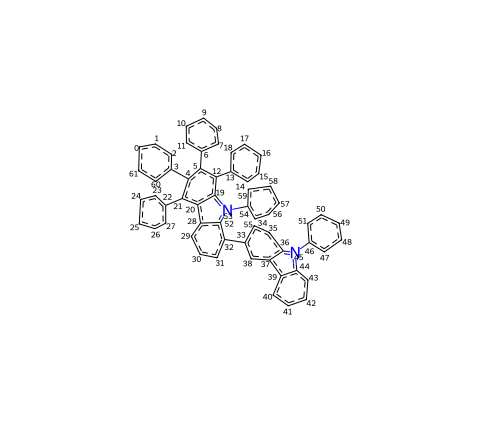 c1ccc(-c2c(-c3ccccc3)c(-c3ccccc3)c3c(c2-c2ccccc2)c2cccc(-c4ccc5c(c4)c4ccccc4n5-c4ccccc4)c2n3-c2ccccc2)cc1